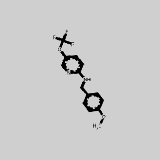 COc1ccc(CNc2ccc(OC(F)(F)F)cn2)cc1